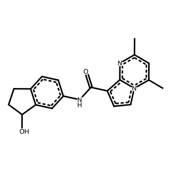 Cc1cc(C)n2ccc(C(=O)Nc3ccc4c(c3)C(O)CC4)c2n1